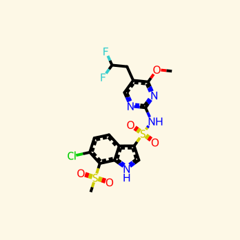 COc1nc(NS(=O)(=O)c2c[nH]c3c(S(C)(=O)=O)c(Cl)ccc23)ncc1CC(F)F